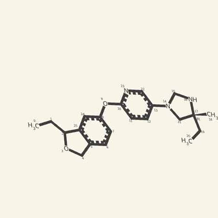 CCC1OCc2ccc(Oc3ccc(N4CN[C@](C)(CC)C4)cn3)cc21